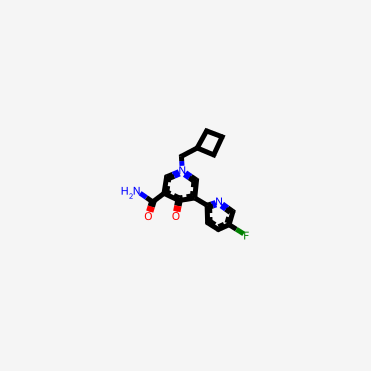 NC(=O)c1cn(CC2CCC2)cc(-c2ccc(F)cn2)c1=O